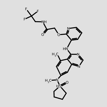 Cc1cc(N(C)[SH]2(=O)CCCC2)cc2ncnc(Nc3cccnc3OCC(=O)NCC(F)(F)F)c12